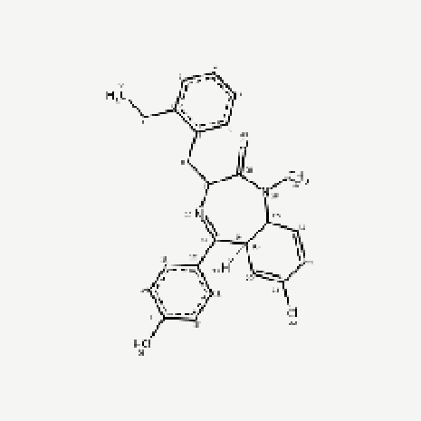 CCc1ccccc1CC1N=C(c2ccc(O)cc2)[C@@H]2C=C(Cl)C=CC2N(C)C1=O